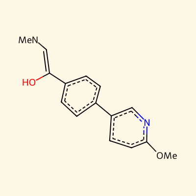 CN/C=C(\O)c1ccc(-c2ccc(OC)nc2)cc1